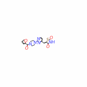 O=C1NC(=O)/C(=C/c2ccnc(N3CCN(C(=O)c4ccco4)CC3)n2)S1